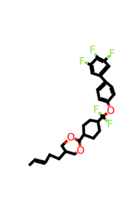 C/C=C/CCC1COC(C2CCC(C(F)(F)Oc3ccc(-c4cc(F)c(F)c(F)c4)cc3)CC2)OC1